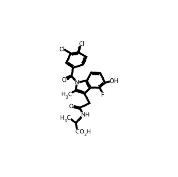 Cc1c(CC(=O)NC(C)C(=O)O)c2c(F)c(O)ccc2n1C(=O)c1ccc(Cl)c(Cl)c1